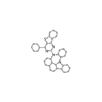 c1ccc(-c2nc(-n3c4cccc5ccc6c7ccccc7n(c7ccccc73)c6c54)nc3c2sc2ccccc23)cc1